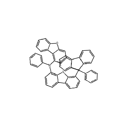 c1ccc(N(c2cccc3c2sc2c(C4(c5ccccc5)c5ccccc5-c5ccccc54)cccc23)c2cccc3oc4ccccc4c23)cc1